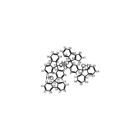 CC1(c2ccc(Oc3ccc(C4(O)c5ccccc5-c5ccccc54)cc3C3(O)c4ccccc4-c4ccccc43)c(C3(O)C4=C(C=CC4)c4ccccc43)c2)c2ccccc2-c2ccccc21